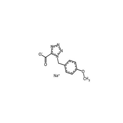 COc1ccc(Cn2nnnc2C(=O)[O-])cc1.[Na+]